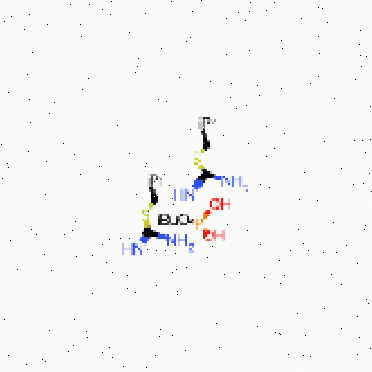 CC(C)COP(O)O.CC(C)CSC(=N)N.CC(C)CSC(=N)N